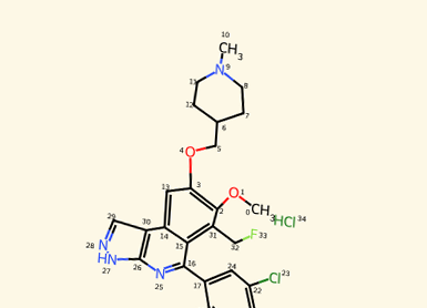 COc1c(OCC2CCN(C)CC2)cc2c(c(-c3ccc(O)c(Cl)c3)nc3[nH]ncc32)c1CF.Cl